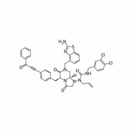 C=CCN(C(=O)NCc1ccc(Cl)c(Cl)c1)N1CC(=O)N2[C@@H](Cc3ccc(C#CC(=O)c4ccccc4)cc3)C(=O)N(Cc3cccc4sc(N)nc34)C[C@@H]21